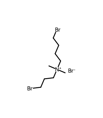 C[N+](C)(CCCBr)CCCCBr.[Br-]